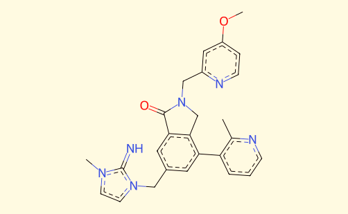 COc1ccnc(CN2Cc3c(cc(Cn4ccn(C)c4=N)cc3-c3cccnc3C)C2=O)c1